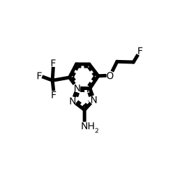 Nc1nc2c(OCCF)ccc(C(F)(F)F)n2n1